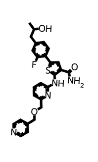 CC(O)Cc1ccc(-c2cc(C(N)=O)c(Nc3cccc(COCc4ccncc4)n3)s2)c(F)c1